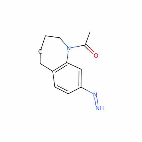 CC(=O)N1CCCCc2ccc(N=N)cc21